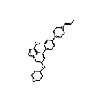 CC=CN1CCN(c2ccc(-c3cc(OC4CCOCC4)cn4ncc(C#N)c34)cc2)CC1